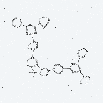 CC1(C)c2ccc(-c3ccc(-c4nc(-c5ccccc5)nc(-c5ccccc5)n4)cc3)cc2-c2cc(-c3ccc(-c4nc(-c5ccccc5)nc(-c5ccccc5)n4)cc3)ccc21